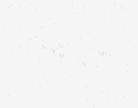 NC(=O)c1cccnc1O[C@H]1CC[C@H](Nc2nccc(N3CC[C@H](F)C3)n2)CC1